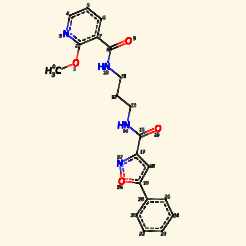 COc1ncccc1C(=O)NCCCNC(=O)c1cc(-c2ccccc2)on1